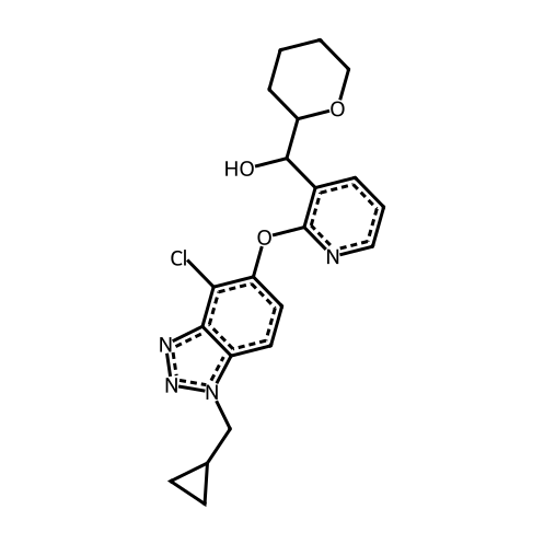 OC(c1cccnc1Oc1ccc2c(nnn2CC2CC2)c1Cl)C1CCCCO1